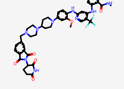 CNC(=O)c1ccccc1Nc1cc(Nc2ccc(N3CCC(N4CCN(Cc5ccc6c(c5)C(=O)N(C5CCC(=O)NC5=O)C6=O)CC4)CC3)cc2OC)ncc1C(F)(F)F